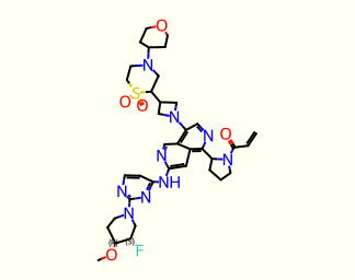 C=CC(=O)N1CCCC1c1ncc(N2CC(C3CN(C4CCOCC4)CCS3(=O)=O)C2)c2cnc(Nc3ccnc(N4CC[C@@H](OC)[C@@H](F)C4)n3)cc12